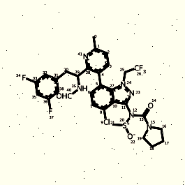 Cc1ccc(-c2ccc(Cl)c3c(N(C(=O)N4CCCC4)[S+](C)[O-])nn(CC(F)(F)F)c23)c(C(Cc2cc(F)cc(F)c2)NC=O)n1